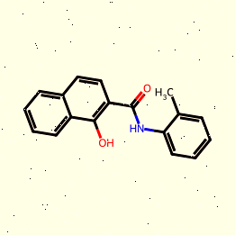 Cc1ccccc1NC(=O)c1ccc2ccccc2c1O